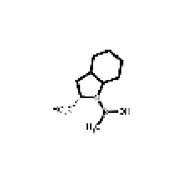 CB(O)N1C2CCCCC2C[C@H]1C(=O)O